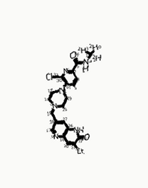 [2H]C([2H])([2H])NC(=O)c1ccc(N2CCN(Cc3cnc4cc(CC)c(=O)[nH]c4c3)CC2)c(Cl)n1